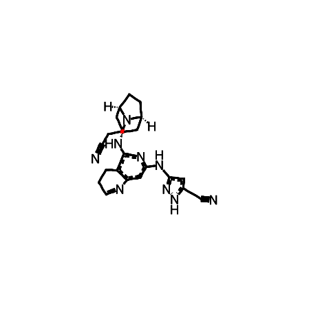 N#CCCN1[C@@H]2CC[C@H]1C[C@H](Nc1nc(Nc3cc(C#N)[nH]n3)cc3c1CCC=N3)C2